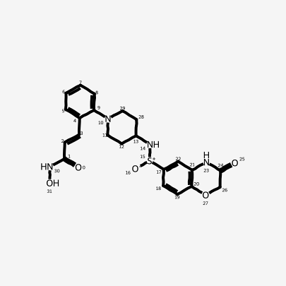 O=C(/C=C/c1ccccc1N1CCC(N[S+]([O-])c2ccc3c(c2)NC(=O)CO3)CC1)NO